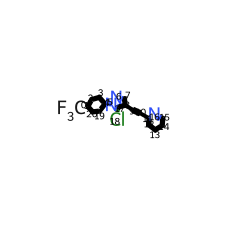 FC(F)(F)c1ccc(-n2ncc(C#Cc3ccccn3)c2Cl)cc1